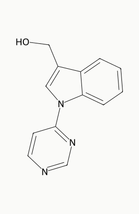 OCc1cn(-c2ccncn2)c2ccccc12